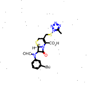 CCC(C)c1cccc(N(C=O)C2C(=O)N3C(C(=O)O)=C(CSn4nnnc4C)CS[C@H]23)c1